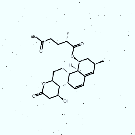 CCC(C)C(=O)CC[C@H](C)C(=O)O[C@H]1C[C@@H](C)C=C2C=C[C@H](C)[C@H](CC[C@H]3C[C@@H](O)CC(=O)O3)[C@H]21